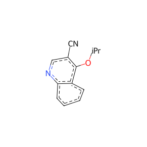 CC(C)Oc1c(C#N)cnc2ccccc12